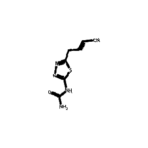 N#CC=CCc1nnc(NC(N)=O)s1